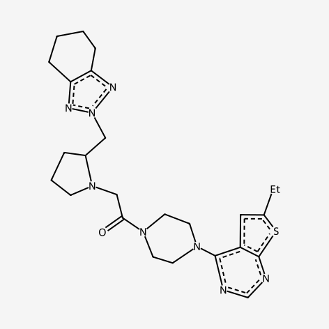 CCc1cc2c(N3CCN(C(=O)CN4CCCC4Cn4nc5c(n4)CCCC5)CC3)ncnc2s1